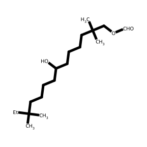 CCC(C)(C)CCCCC(O)CCCCC(C)(C)COC=O